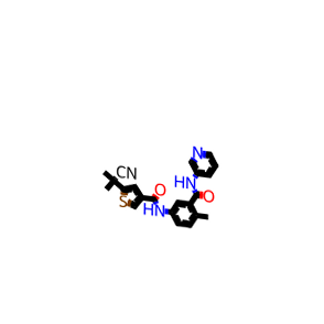 Cc1ccc(NC(=O)c2csc(C(C)(C)C#N)c2)cc1C(=O)Nc1cccnc1